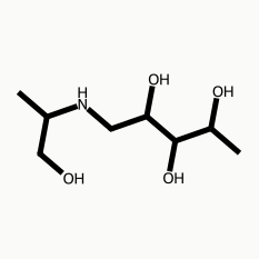 CC(CO)NCC(O)C(O)C(C)O